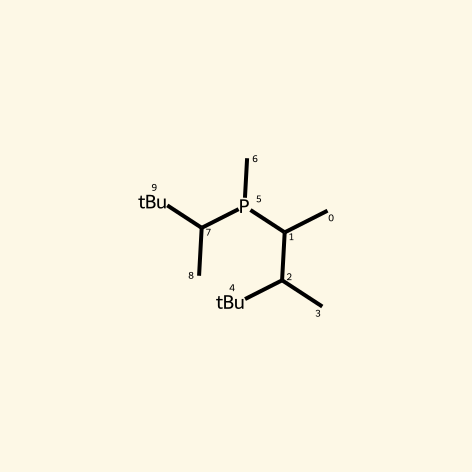 CC(C(C)C(C)(C)C)P(C)C(C)C(C)(C)C